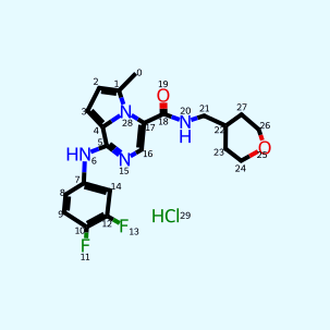 Cc1ccc2c(Nc3ccc(F)c(F)c3)ncc(C(=O)NCC3CCOCC3)n12.Cl